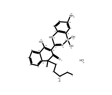 CC[C@H](C)CCC1(C)C(=O)C(C2=NS(O)(O)c3cc(N)ccc3N2)=C(O)c2ccccc21.Cl